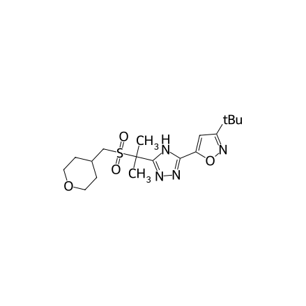 CC(C)(C)c1cc(-c2nnc(C(C)(C)S(=O)(=O)CC3CCOCC3)[nH]2)on1